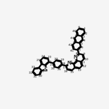 c1ccc2cc3cc(-c4ccc5ccc6ccc(-c7ccc(-c8cccc9c8sc8ccccc89)cc7)nc6c5n4)ccc3cc2c1